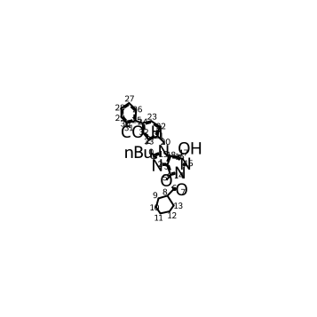 CCCCc1nc2c(OC(=O)C3CCCCC3)nnc(O)c2n1Cc1ccc(-c2ccccc2C(=O)O)cc1